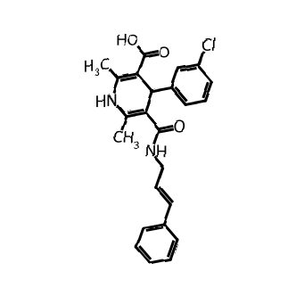 CC1=C(C(=O)O)C(c2cccc(Cl)c2)C(C(=O)NC/C=C/c2ccccc2)=C(C)N1